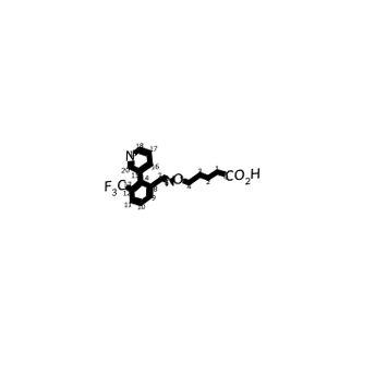 O=C(O)CCCCO/N=C/c1cccc(C(F)(F)F)c1-c1cccnc1